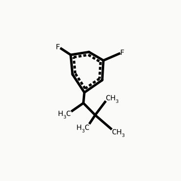 CC(c1cc(F)cc(F)c1)C(C)(C)C